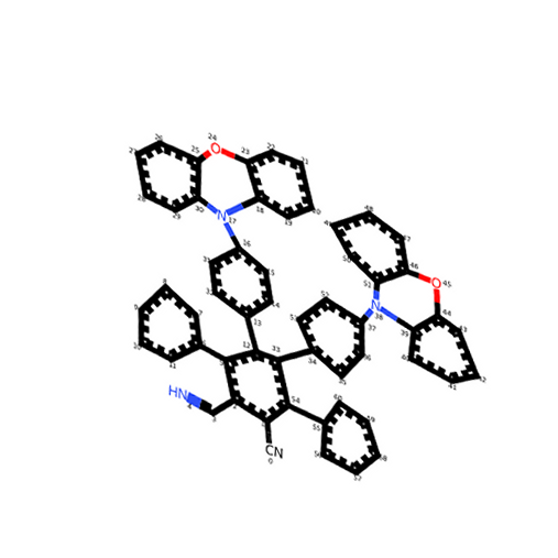 N#Cc1c(C=N)c(-c2ccccc2)c(-c2ccc(N3c4ccccc4Oc4ccccc43)cc2)c(-c2ccc(N3c4ccccc4Oc4ccccc43)cc2)c1-c1ccccc1